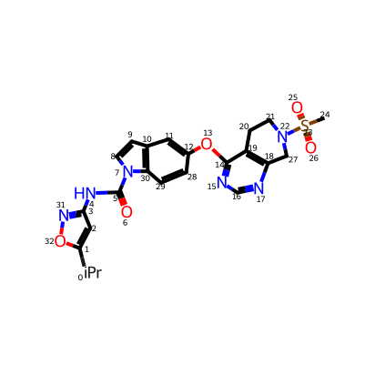 CC(C)c1cc(NC(=O)n2ccc3cc(Oc4ncnc5c4CCN(S(C)(=O)=O)C5)ccc32)no1